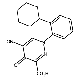 O=Nc1cn(-c2ccccc2C2CCCCC2)nc(C(=O)O)c1=O